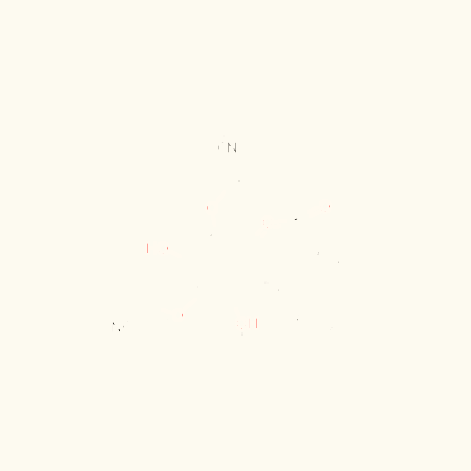 N#CCOc1c(O)c(OCC#N)c2oc(=O)c3c(c2c1O)CCCC3